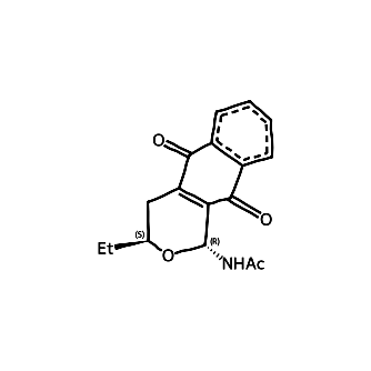 CC[C@H]1CC2=C(C(=O)c3ccccc3C2=O)[C@H](NC(C)=O)O1